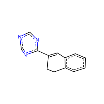 C1=C(c2ncncn2)CCc2ccccc21